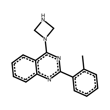 Cc1ccccc1-c1nc(N2CNC2)c2ccccc2n1